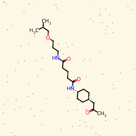 CC(=O)C[C@H]1CC[C@H](NC(=O)CCCC(=O)NCCCOCC(C)C)CC1